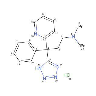 CC(C)N(CCC(c1ccccc1)(c1ccccn1)c1nnn[nH]1)C(C)C.Cl